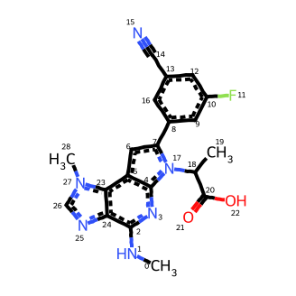 CNc1nc2c(cc(-c3cc(F)cc(C#N)c3)n2C(C)C(=O)O)c2c1ncn2C